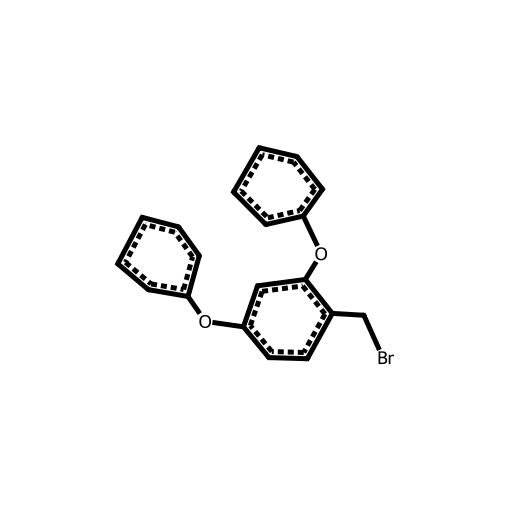 BrCc1ccc(Oc2ccccc2)cc1Oc1ccccc1